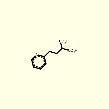 O=C(O)C(CCc1ccccn1)C(=O)O